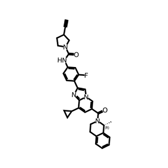 C#CC1CCN(C(=O)Nc2ccc(-c3cn4cc(C(=O)N5CCc6ccccc6[C@H]5C)cc(C5CC5)c4n3)c(F)c2)C1